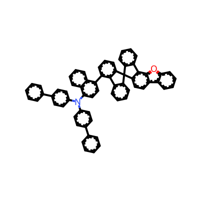 c1ccc(-c2ccc(N(c3ccc(-c4ccccc4)cc3)c3ccc(-c4cccc5c4-c4ccccc4C54c5ccccc5-c5c4ccc4c5oc5ccccc54)c4ccccc34)cc2)cc1